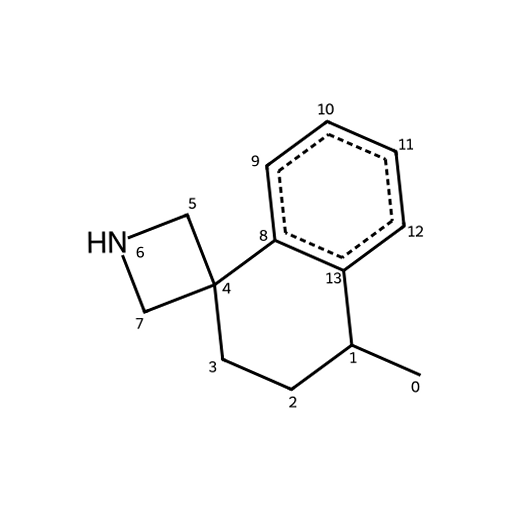 CC1CCC2(CNC2)c2ccccc21